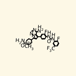 C[N+]1(C(N)=O)CCC(c2cc(-c3ccc(NC(=O)Nc4cc(C(F)(F)F)ccc4F)c(F)c3)c3c(N)ncnn23)CC1